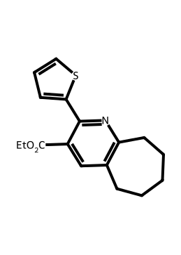 CCOC(=O)c1cc2c(nc1-c1cccs1)CCCCC2